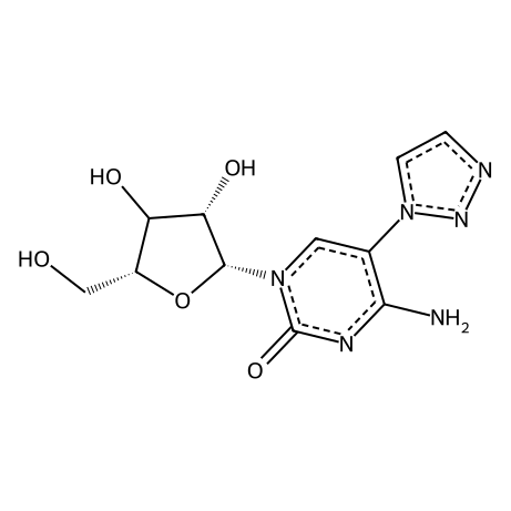 Nc1nc(=O)n([C@@H]2O[C@H](CO)C(O)[C@@H]2O)cc1-n1ccnn1